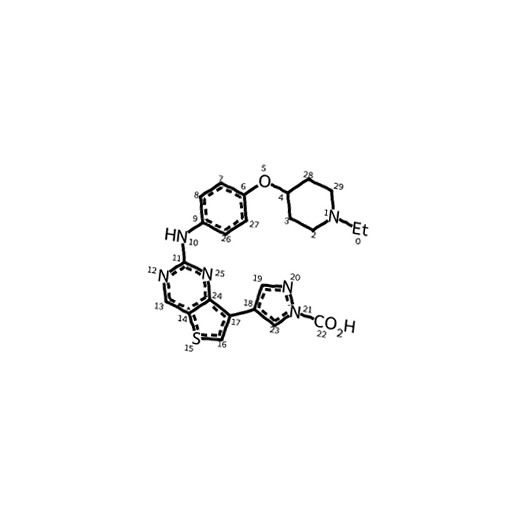 CCN1CCC(Oc2ccc(Nc3ncc4scc(-c5cnn(C(=O)O)c5)c4n3)cc2)CC1